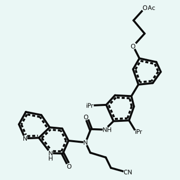 CC(=O)OCCOc1cccc(-c2cc(C(C)C)c(NC(=O)N(CCCC#N)c3cc4cccnc4[nH]c3=O)c(C(C)C)c2)c1